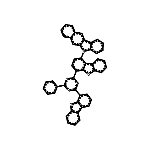 c1ccc(-c2nc(-c3cccc4c3oc3ccccc34)nc(-c3ccc(-n4c5ccccc5c5cc6ccccc6cc54)c4c3oc3ccccc34)n2)cc1